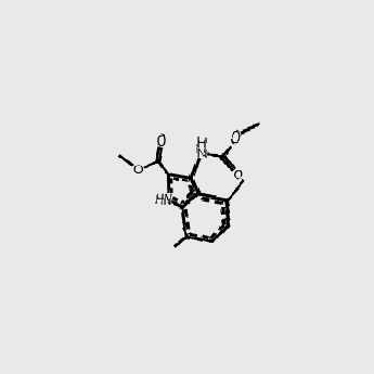 COC(=O)Nc1c(C(=O)OC)[nH]c2c(C)ccc(C)c12